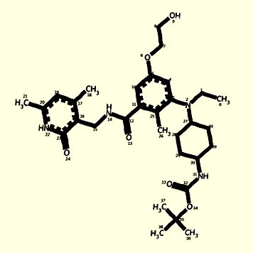 CCN(c1cc(OCCO)cc(C(=O)NCc2c(C)cc(C)[nH]c2=O)c1C)C1CCC(NC(=O)OC(C)(C)C)CC1